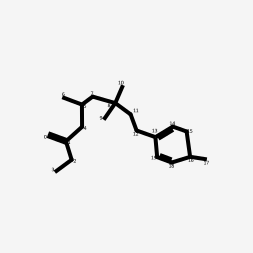 C=C(CC)CC(C)CC(C)(C)CCC1=CCC(C)C=C1